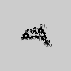 Cc1cc(C[C@H]2CN(C(=O)OC(C)(C)C)C[C@H]2NCCOCCc2cccc(F)c2)nc(NC(=O)OC(C)(C)C)c1